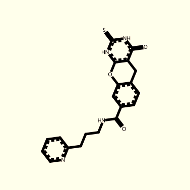 O=C(NCCCc1ccccn1)c1ccc2c(c1)Oc1[nH]c(=S)[nH]c(=O)c1C2